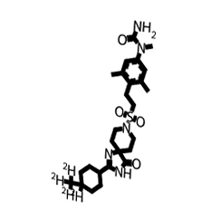 [2H]C([2H])([2H])C1([2H])CCC(C2=NC3(CCN(S(=O)(=O)CCc4c(C)cc(N(C)C(N)=O)cc4C)CC3)C(=O)N2)CC1